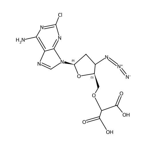 [N-]=[N+]=NC1C[C@H](n2cnc3c(N)nc(Cl)nc32)O[C@@H]1COC(C(=O)O)C(=O)O